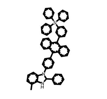 Cc1cccc2c1NC(c1ccccc1)N2c1ccc(-c2c3ccccc3c(-c3cccc([Si](c4ccccc4)(c4ccccc4)c4ccccc4)c3)c3ccccc23)cc1